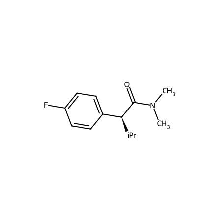 CC(C)[C@H](C(=O)N(C)C)c1ccc(F)cc1